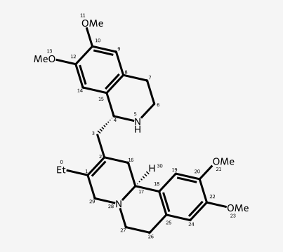 CCC1=C(C[C@H]2NCCc3cc(OC)c(OC)cc32)C[C@H]2c3cc(OC)c(OC)cc3CCN2C1